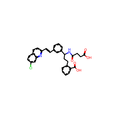 O=C(O)CCC(=O)NC(CCc1ccccc1C(=O)O)c1cccc(C=Cc2ccc3ccc(Cl)cc3n2)c1